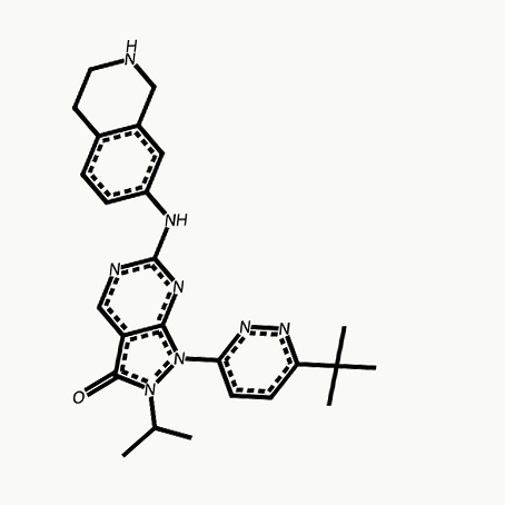 CC(C)n1c(=O)c2cnc(Nc3ccc4c(c3)CNCC4)nc2n1-c1ccc(C(C)(C)C)nn1